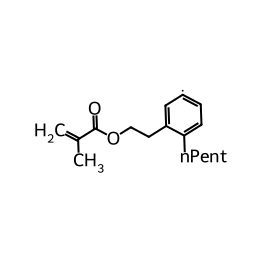 C=C(C)C(=O)OCCc1c[c]ccc1CCCCC